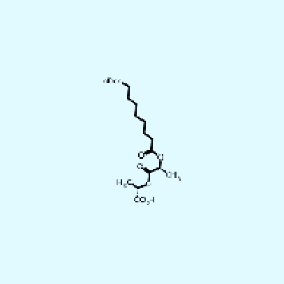 CCCCCCCCCCCCCCCCCC(=O)O[C@@H](C)C(=O)O[C@@H](C)C(=O)O